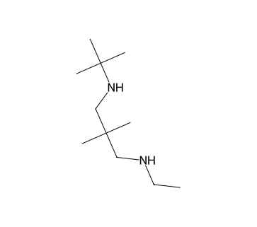 CCNCC(C)(C)CNC(C)(C)C